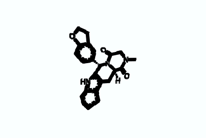 CN1CC(=O)N2[C@@H](c3ccc4c(c3)CCO4)c3[nH]c4ccccc4c3C[C@@H]2C1=O